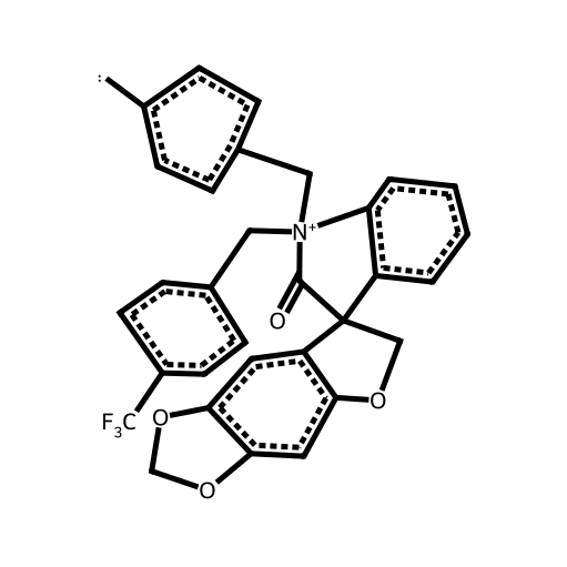 [CH]c1ccc(C[N+]2(Cc3ccc(C(F)(F)F)cc3)C(=O)C3(COc4cc5c(cc43)OCO5)c3ccccc32)cc1